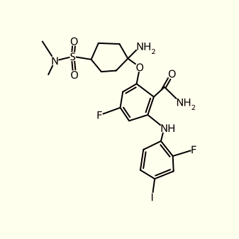 CN(C)S(=O)(=O)C1CCC(N)(Oc2cc(F)cc(Nc3ccc(I)cc3F)c2C(N)=O)CC1